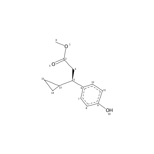 COC(=O)C[C@@H](c1ccc(O)cc1)C1CC1